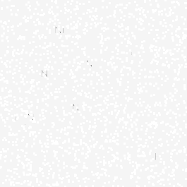 Nc1nc(N)nc(-c2cc(F)ccc2Cl)n1